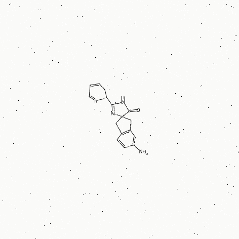 Nc1ccc2c(c1)CC1(C2)N=C(C2CC=CC=N2)NC1=O